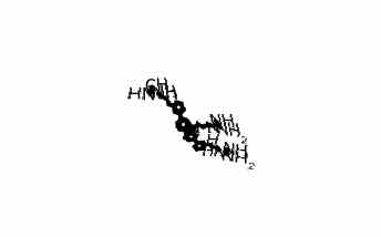 CC(=N)NCCCc1cccc(-c2ccc3c4ccc(-c5cccc(CCCNC(=N)N)c5)cc4n(CCCNC(=N)N)c3c2)c1